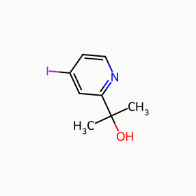 CC(C)(O)c1cc(I)ccn1